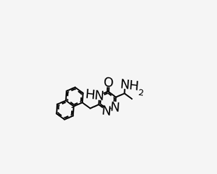 CC(N)c1nnc(Cc2cccc3ccccc23)[nH]c1=O